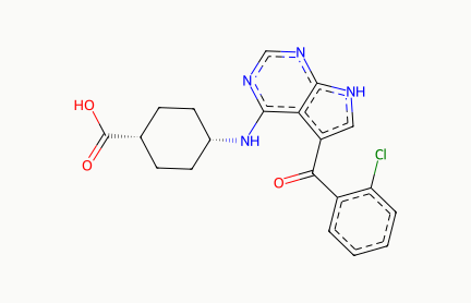 O=C(c1ccccc1Cl)c1c[nH]c2ncnc(N[C@H]3CC[C@@H](C(=O)O)CC3)c12